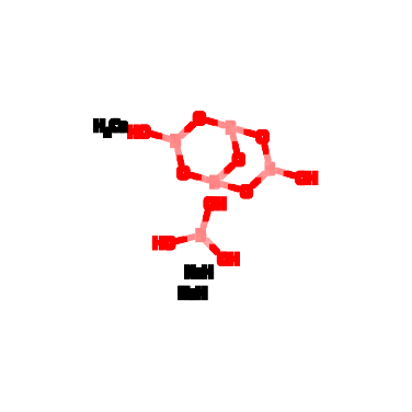 OB(O)O.OB1OB2OB(O)OB(O1)O2.[CaH2].[NaH].[NaH]